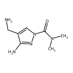 CN(C)C(=O)n1cc(CN)c(N)n1